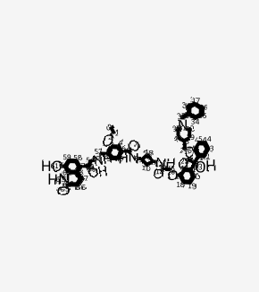 CCOc1cc(C(=O)NC2CC(NC(=O)COc3cccc([C@](O)(C(=O)OCC4CCN(Cc5ccccc5)CC4)c4ccccc4)c3)C2)ccc1CNC[C@H](O)c1ccc(O)c2[nH]c(=O)ccc12